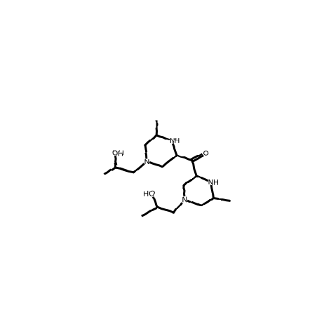 CC(O)CN1CC(C)NC(C(=O)C2CN(CC(C)O)CC(C)N2)C1